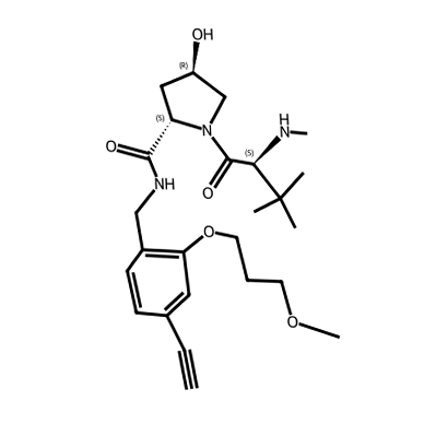 C#Cc1ccc(CNC(=O)[C@@H]2C[C@@H](O)CN2C(=O)[C@@H](NC)C(C)(C)C)c(OCCCOC)c1